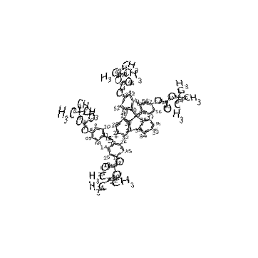 CC(C)(C)OC(=O)Oc1ccc([S+](c2ccc(OC(=O)OC(C)(C)C)cc2)c2ccc3c(c2)-c2ccccc2C3(c2ccc(OC(=O)OC(C)(C)C)cc2)c2ccc(OC(=O)OC(C)(C)C)cc2)cc1